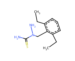 CCc1cccc(CC)c1CN(N)C(N)=S